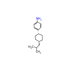 CC(C)C[C@H]1CC[C@H](c2ccc(N)cc2)CC1